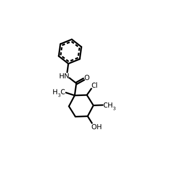 CC1C(O)CCC(C)(C(=O)Nc2ccccc2)C1Cl